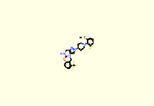 Cc1cccc(F)c1N1CCC(n2cc3c(n2)CNC(=O)N3Cc2ccccc2C(F)(F)F)CC1